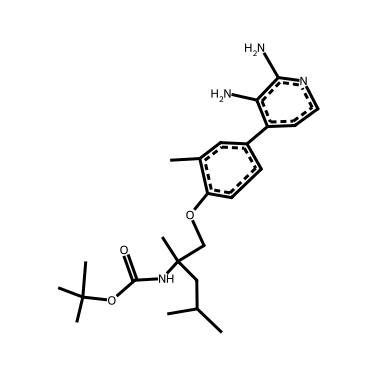 Cc1cc(-c2ccnc(N)c2N)ccc1OCC(C)(CC(C)C)NC(=O)OC(C)(C)C